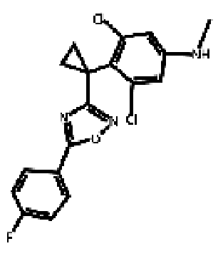 CNc1cc(Cl)c(C2(c3noc(-c4ccc(F)cc4)n3)CC2)c(Cl)c1